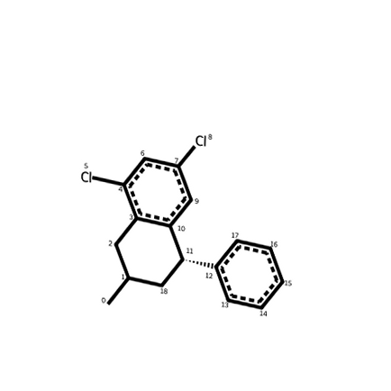 CC1Cc2c(Cl)cc(Cl)cc2[C@H](c2ccccc2)C1